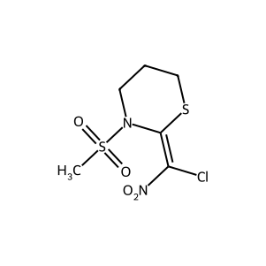 CS(=O)(=O)N1CCCSC1=C(Cl)[N+](=O)[O-]